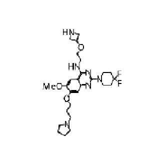 COc1cc2c(NCCOC3CNC3)nc(N3CCC(F)(F)CC3)nc2cc1OCCCN1CCCC1